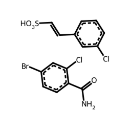 NC(=O)c1ccc(Br)cc1Cl.O=S(=O)(O)C=Cc1cccc(Cl)c1